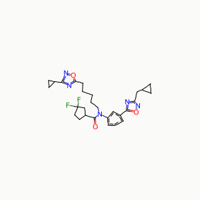 O=C(C1CCC(F)(F)C1)N(CCCCCc1nc(C2CC2)no1)c1cccc(-c2nc(CC3CC3)no2)c1